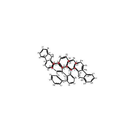 c1ccc(-c2ccccc2-c2c(-c3ccccc3)cccc2N(c2cccc(-c3cccc4c3oc3ccccc34)c2)c2cccc3c2sc2ccccc23)cc1